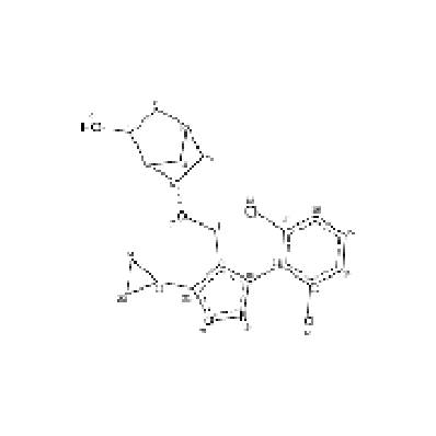 OC1CC2CC1[C@@H](OCc1c(-c3c(Cl)cccc3Cl)noc1C1CC1)C2